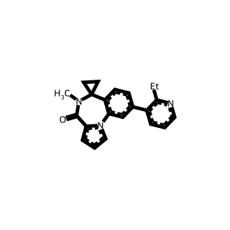 CCc1ncccc1-c1ccc2c(c1)-n1cccc1C(=O)N(C)C21CC1